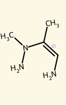 C/C(=C/N)N(C)N